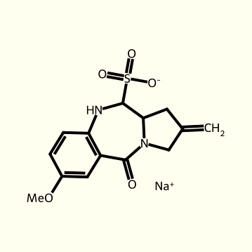 C=C1CC2C(S(=O)(=O)[O-])Nc3ccc(OC)cc3C(=O)N2C1.[Na+]